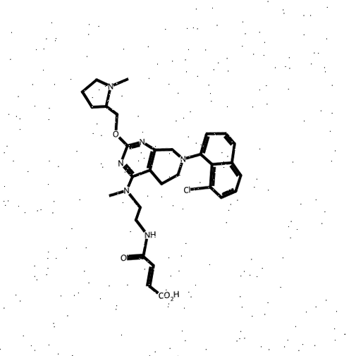 CN(CCNC(=O)/C=C/C(=O)O)c1nc(OCC2CCCN2C)nc2c1CCN(c1cccc3cccc(Cl)c13)C2